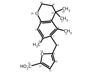 Cc1cc2c(c(C)c1Cc1ccc(C(=O)O)o1)C(C)(C)CCO2